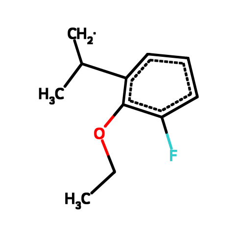 [CH2]C(C)c1cccc(F)c1OCC